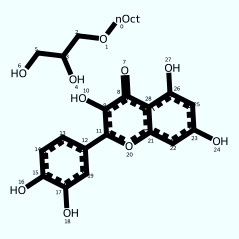 CCCCCCCCOCC(O)CO.O=c1c(O)c(-c2ccc(O)c(O)c2)oc2cc(O)cc(O)c12